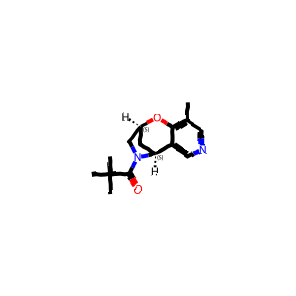 Cc1cncc2c1O[C@H]1C[C@@H]2N(C(=O)C(C)(C)C)C1